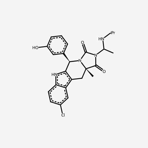 CC(C)NC(C)N1C(=O)N2[C@H](c3cccc(O)c3)c3[nH]c4ccc(Cl)cc4c3C[C@@]2(C)C1=O